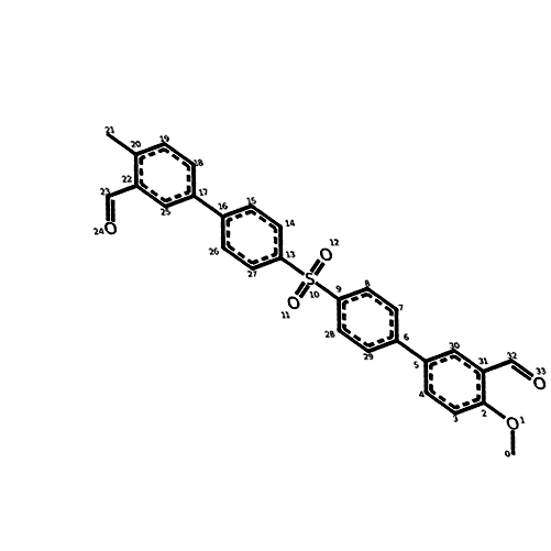 COc1ccc(-c2ccc(S(=O)(=O)c3ccc(-c4ccc(C)c(C=O)c4)cc3)cc2)cc1C=O